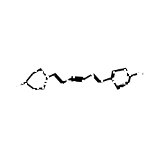 CCCCC1CCC(C=CC#CC=Cc2ccc(CCC)cc2)CC1